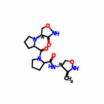 C=C1NOC[C@H]1NC(=O)C1CCCN1C(=O)C1CCCN1[C@H]1CONC1=O